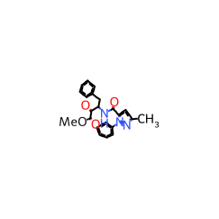 COC(=O)C(=O)C(Cc1ccccc1)NC(=O)c1cc(C)nn1-c1ccccc1